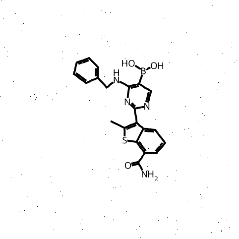 Cc1sc2c(C(N)=O)cccc2c1-c1ncc(B(O)O)c(NCc2ccccc2)n1